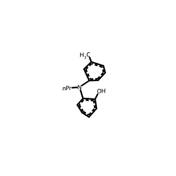 CCCN(c1cccc(C)c1)c1ccccc1O